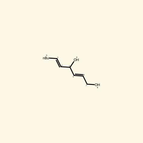 CCCCC=CC(O)C=CCO